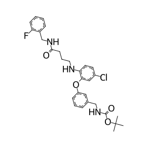 CC(C)(C)OC(=O)NCc1cccc(Oc2cc(Cl)ccc2NCCCC(=O)NCc2ccccc2F)c1